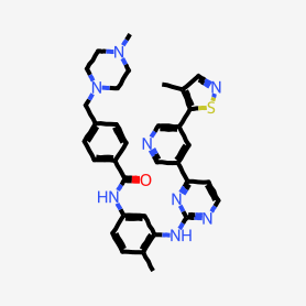 Cc1ccc(NC(=O)c2ccc(CN3CCN(C)CC3)cc2)cc1Nc1nccc(-c2cncc(-c3sncc3C)c2)n1